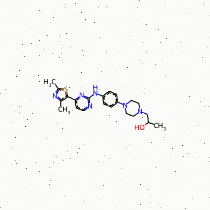 Cc1nc(C)c(-c2ccnc(Nc3ccc(N4CCN(CC(C)O)CC4)cc3)n2)s1